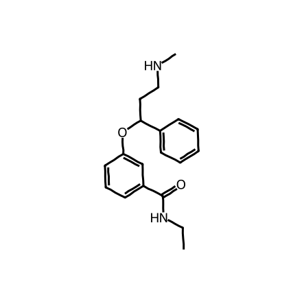 CCNC(=O)c1cccc(OC(CCNC)c2ccccc2)c1